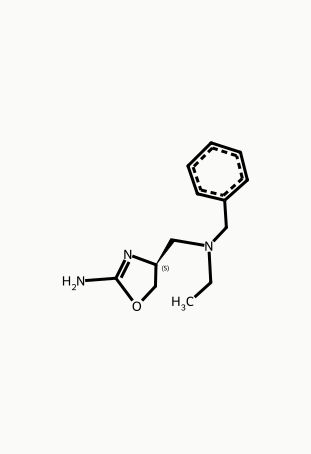 CCN(Cc1ccccc1)C[C@H]1COC(N)=N1